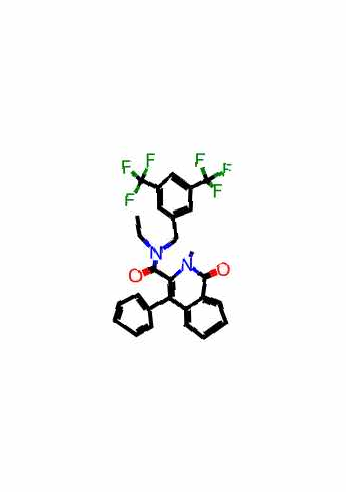 CCN(Cc1cc(C(F)(F)F)cc(C(F)(F)F)c1)C(=O)c1c(-c2ccccc2)c2ccccc2c(=O)n1C